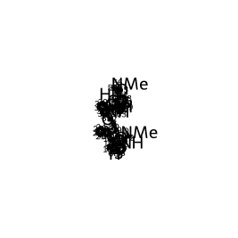 CN[C@@H](C)C(=O)N[C@H]1CCS[C@H]2CC(C)(C)[C@@H](C(=O)C[C@H]3c4ccccc4C[C@H]3OCC#CCO[C@@H]3Cc4ccccc4[C@@H]3NC(=O)[C@H]3N4C(=O)[C@@H](NC(=O)[C@H](C)NC)CCS[C@H]4CC3(C)C)N2C1=O